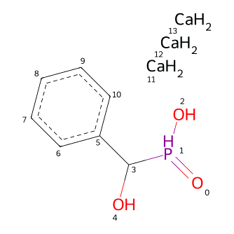 O=[PH](O)C(O)c1ccccc1.[CaH2].[CaH2].[CaH2]